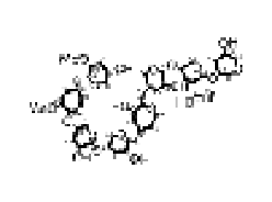 CCCC(O)[C@@H]1C[C@H](O[C@H]2OC[C@@H](O[C@H]3OCC[C@@H](O[C@H]4OC[C@@H](O[C@H]5OC[C@@H](O[C@H]6OC[C@@H](O[C@H]7OC[C@@H](O)C[C@H]7OC)C[C@H]6OC)C[C@H]5O)C[C@H]4O)C[C@H]3O)C[C@H]2O)CO[C@@H]1O[C@@H]1COC[C@H](O)C1